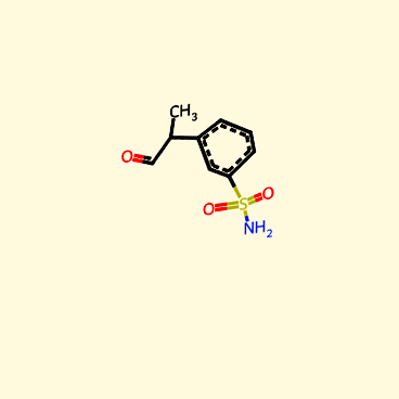 CC(C=O)c1cccc(S(N)(=O)=O)c1